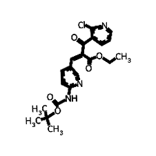 CCOC(=O)C(=Cc1ccc(NC(=O)OC(C)(C)C)nc1)C(=O)c1cccnc1Cl